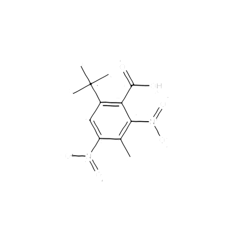 Cc1c([N+](=O)[O-])cc(C(C)(C)C)c(C(=O)O)c1[N+](=O)[O-]